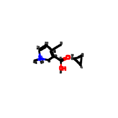 C1CC1.CC1=C(C(=O)O)CN(C)C=C1